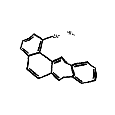 Brc1cccc2ccc3cc4ccccc4cc3c12.N